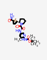 Cc1cc(NC(=O)C(=O)N2CCCC[C@H]2c2ccc(C(N)=O)s2)cnc1NC(=O)OC(C)(C)C